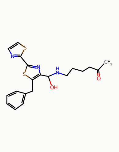 O=C(CCCCNC(O)c1nc(-c2nccs2)sc1Cc1ccccc1)C(F)(F)F